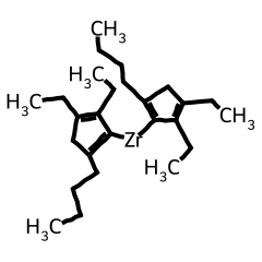 CCCCC1=[C]([Zr][C]2=C(CCCC)CC(CC)=C2CC)C(CC)=C(CC)C1